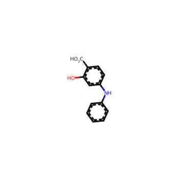 O=C(O)c1ccc(Nc2ccccc2)cc1O